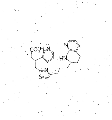 O=C(O)CC(Cc1nc(CCCC2CCc3cccnc3N2)cs1)c1cccnc1